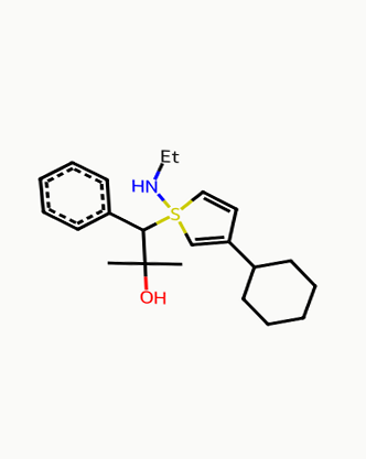 CCNS1(C(c2ccccc2)C(C)(C)O)C=CC(C2CCCCC2)=C1